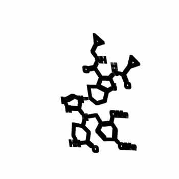 COc1ccc(CN(c2nncn2[C@H]2CCc3sc(NC(=O)C4CC4)c(C(=O)NCC4CC4)c3C2)C2CCNC(=O)C2)c(OC)c1